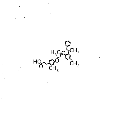 CCc1ccc(O[C@H](C)CCOc2ccc(CCC(=O)O)c(C)c2)c(C(C)Cc2ccccc2)c1